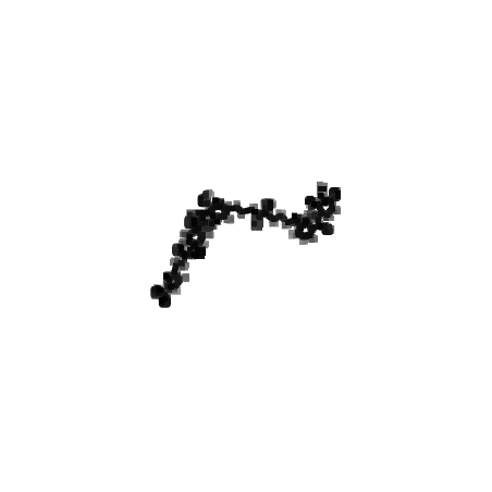 COc1nc(CCCNC(=O)CCCNc2cccc3c2CN(C2CCC(=O)NC2=O)C3=O)cnc1NS(=O)(=O)c1ccc(NC(=O)/C=C/c2ccc([N+](=O)[O-])s2)cc1